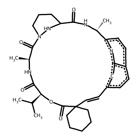 CC(C)[C@@H]1OC(=O)C2(/C=C/c3ccc4ccc(nc4c3)[C@@H](C)NC(=O)C3CCCN(N3)C(=O)[C@H](C)NC1=O)CCCCC2